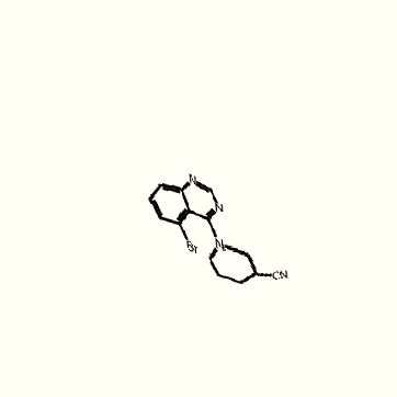 N#CC1CCCN(c2ncnc3cccc(Br)c23)C1